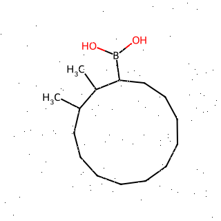 CC1CCCCCCCCCCC(B(O)O)C1C